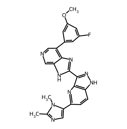 COc1cc(F)cc(-c2cncc3[nH]c(-c4n[nH]c5ccc(-c6cnc(C)n6C)nc45)nc23)c1